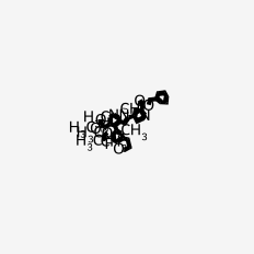 COC(=O)[C@@H](OC(C)(C)C)c1c(C)nc2c(cc(-c3ccnc(C(=O)OCc4ccccc4)c3)n2C)c1-c1cc(F)c2c(c1C)CCCO2